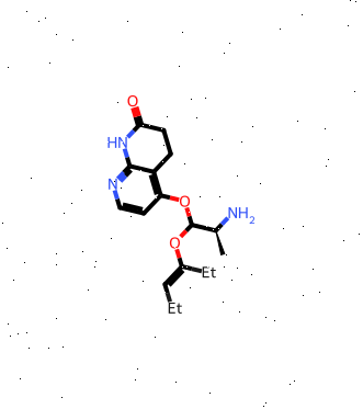 CC/C=C(\CC)OC(Oc1ccnc2c1CCC(=O)N2)[C@H](C)N